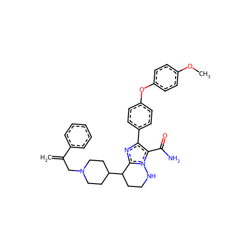 C=C(CN1CCC(C2CCNn3c2nc(-c2ccc(Oc4ccc(OC)cc4)cc2)c3C(N)=O)CC1)c1ccccc1